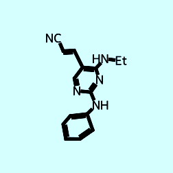 CCNc1nc(Nc2ccccc2)ncc1C=CC#N